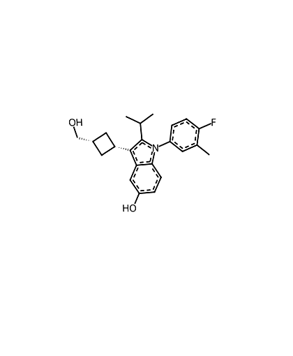 Cc1cc(-n2c(C(C)C)c([C@H]3C[C@@H](CO)C3)c3cc(O)ccc32)ccc1F